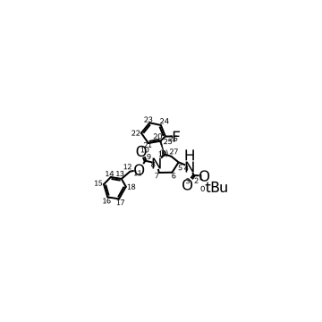 CC(C)(C)OC(=O)NC1CCN(C(=O)OCc2ccccc2)[C@@H](c2ccccc2F)C1